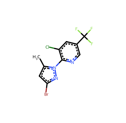 Cc1cc(Br)nn1-c1ncc(C(F)(F)F)cc1Cl